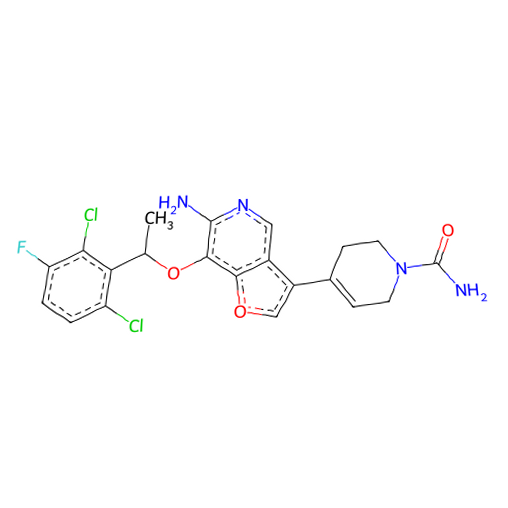 CC(Oc1c(N)ncc2c(C3=CCN(C(N)=O)CC3)coc12)c1c(Cl)ccc(F)c1Cl